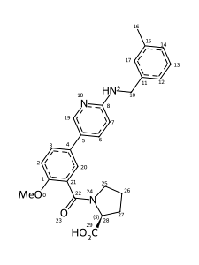 COc1ccc(-c2ccc(NCc3cccc(C)c3)nc2)cc1C(=O)N1CCC[C@H]1C(=O)O